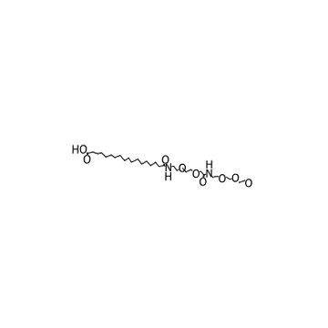 O=CCOCCOCCNC(=O)COCCOCCNC(=O)CCCCCCCCCCCCCCCCC(=O)O